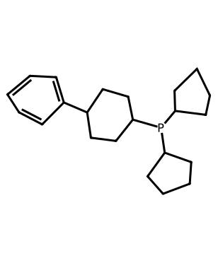 c1ccc(C2CCC(P(C3CCCC3)C3CCCC3)CC2)cc1